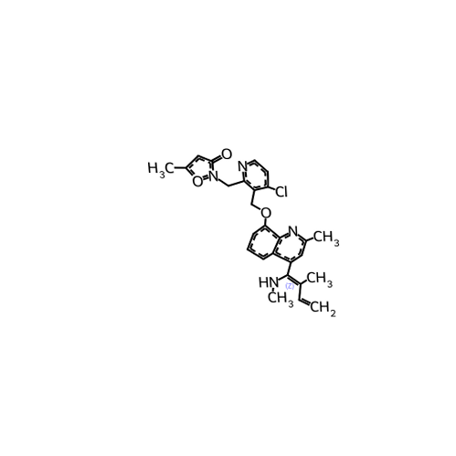 C=C/C(C)=C(\NC)c1cc(C)nc2c(OCc3c(Cl)ccnc3Cn3oc(C)cc3=O)cccc12